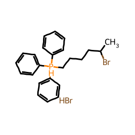 Br.CC(Br)CCCC[PH](c1ccccc1)(c1ccccc1)c1ccccc1